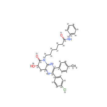 Cc1ccc(-c2nc3c(nc2-c2ccc(Cl)cc2)CC(O)C(=O)N3CCCCCCC(=O)Nc2ccccc2)cc1